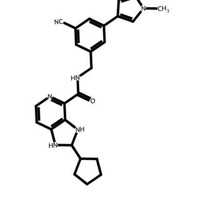 Cn1ccc(-c2cc(C#N)cc(CNC(=O)c3nccc4c3NC(C3CCCC3)N4)c2)c1